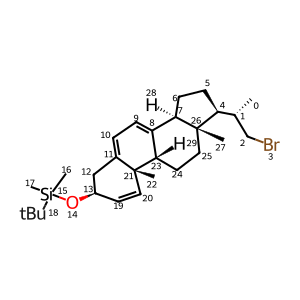 C[C@H](CBr)[C@@H]1CC[C@@H]2C3=CC=C4C[C@H](O[Si](C)(C)C(C)(C)C)C=C[C@@]4(C)[C@H]3CC[C@]21C